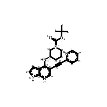 CC(C)(C)OC(=O)N1CCC[C@@H](Nc2c(C#Cc3ccccn3)cnc3[nH]ccc23)C1